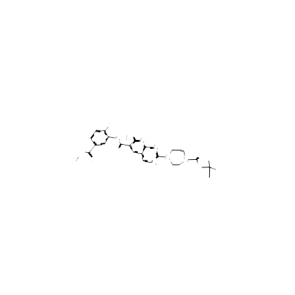 COC(=O)c1ccc(Cl)c(NC(=O)c2cc3cnc(N4CCN(C(=O)OC(C)(C)C)CC4)nc3[nH]c2=O)c1